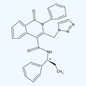 CC[C@H](NC(=O)c1c(Cn2ccnn2)n(-c2ccccc2)c(=O)c2ccccc12)c1ccccc1